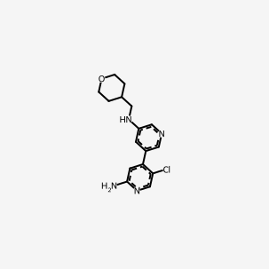 Nc1cc(-c2cncc(NCC3CCOCC3)c2)c(Cl)cn1